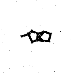 CC1CC2C3CCC(C3)C2C1